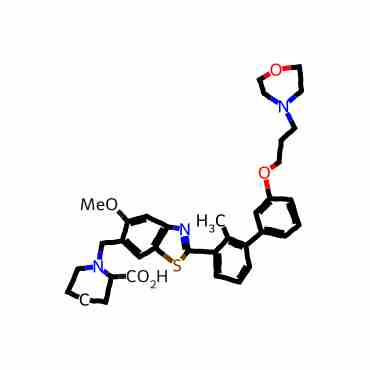 COc1cc2nc(-c3cccc(-c4cccc(OCCCN5CCOCC5)c4)c3C)sc2cc1CN1CCCCC1C(=O)O